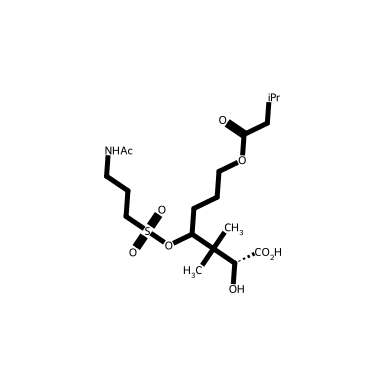 CC(=O)NCCCS(=O)(=O)OC(CCCOC(=O)CC(C)C)C(C)(C)[C@@H](O)C(=O)O